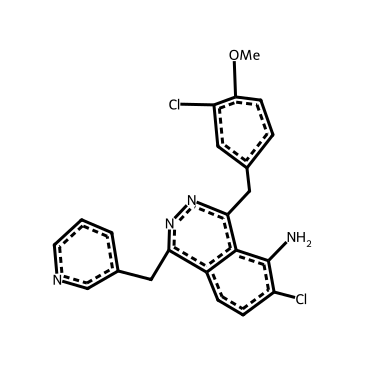 COc1ccc(Cc2nnc(Cc3cccnc3)c3ccc(Cl)c(N)c23)cc1Cl